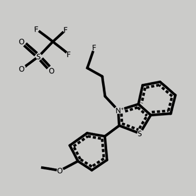 COc1ccc(-c2sc3ccccc3[n+]2CCCF)cc1.O=S(=O)([O-])C(F)(F)F